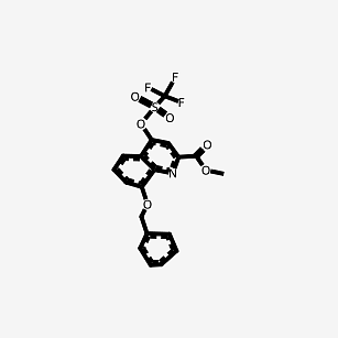 COC(=O)c1cc(OS(=O)(=O)C(F)(F)F)c2cccc(OCc3ccccc3)c2n1